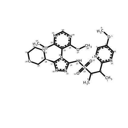 COc1cnc(C(C)C(C)S(=O)(=O)Nc2nnc([C@H]3COCCO3)n2-c2c(OC)ncnc2OC)nc1